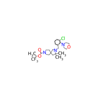 CC(OC(=O)N1CCC2(CC1)CN(Cc1cccc(Cl)c1N1CCOCC1)C(C)(C)C2)C(F)(F)F